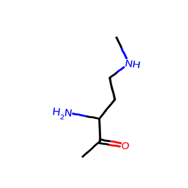 CNCCC(N)C(C)=O